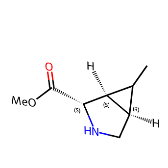 COC(=O)[C@H]1NC[C@@H]2C(C)[C@H]12